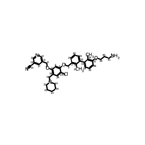 Cc1c(COc2cc(OCc3cncc(C#N)c3)c(CN3CCCCC3)cc2Cl)cccc1-c1cccc(OCCCN)c1C